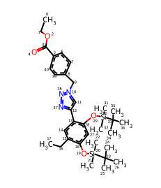 CCOC(=O)c1ccc(Cn2cc(-c3cc(CC)c(O[Si](C)(C)C(C)(C)C)cc3O[Si](C)(C)C(C)(C)C)nn2)cc1